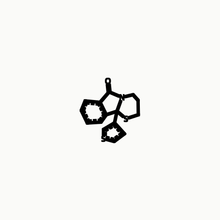 O=C1c2ccccc2C2(c3ccsc3)SCCCN12